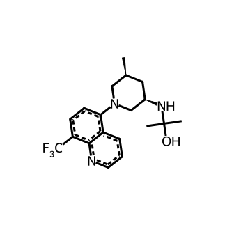 C[C@H]1C[C@@H](NC(C)(C)O)CN(c2ccc(C(F)(F)F)c3ncccc23)C1